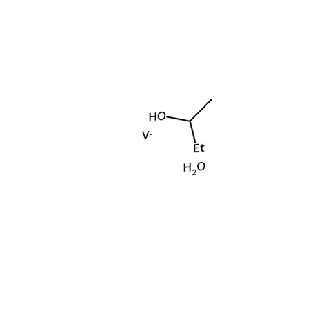 CCC(C)O.O.[V]